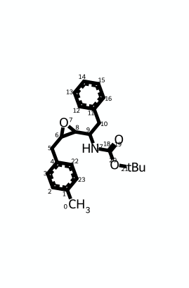 Cc1ccc(CC2OC2C(Cc2ccccc2)NC(=O)OC(C)(C)C)cc1